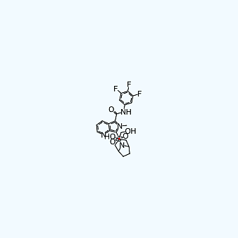 Cn1c(C(=O)Nc2cc(F)c(F)c(F)c2)c2cccnc2c1S(=O)(=O)N1C2CCC1CC(O)(CO)C2